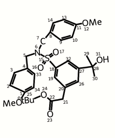 COc1ccc(CN(Cc2ccc(OC)cc2)S(=O)(=O)c2cc(CC(=O)OC(C)(C)C)cc(C(C)(C)O)c2)cc1